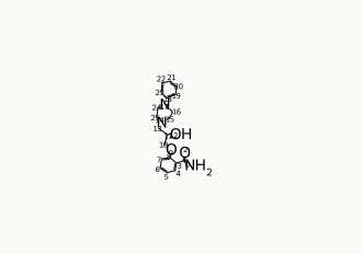 NC(=O)c1ccccc1OCC(O)CN1CCN(c2ccccc2)CC1